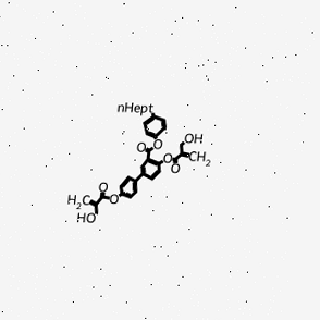 C=C(CO)C(=O)Oc1ccc(-c2ccc(OC(=O)C(=C)CO)c(C(=O)Oc3ccc(CCCCCCC)cc3)c2)cc1